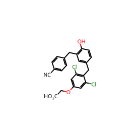 N#Cc1ccc(Cc2cc(Cc3c(Cl)cc(OCC(=O)O)cc3Cl)ccc2O)cc1